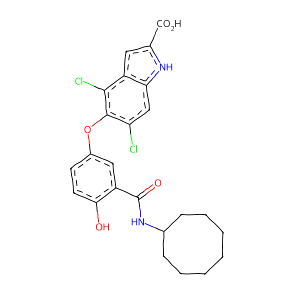 O=C(O)c1cc2c(Cl)c(Oc3ccc(O)c(C(=O)NC4CCCCCCC4)c3)c(Cl)cc2[nH]1